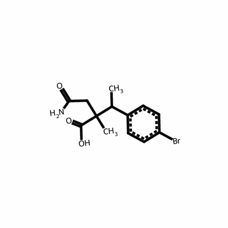 CC(c1ccc(Br)cc1)C(C)(CC(N)=O)C(=O)O